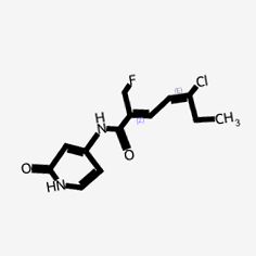 CC/C(Cl)=C\C=C(/CF)C(=O)Nc1cc[nH]c(=O)c1